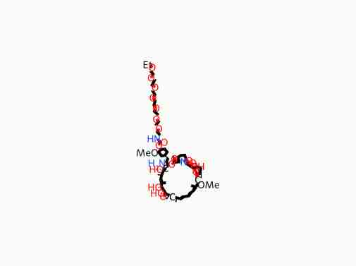 CCOCCOCCOCCOCCOCCOCCOCCNC(=O)OC1CC[C@@H](C[C@@H](N)[C@@H]2C[C@@H](O)[C@H](C)/C=C(\C)[C@@H](O)[C@@H](O)C(=O)[C@H](C)C[C@H](C)/C=C/C=C/C=C(\C)C(OC)C[C@@H]3CC[C@@H](C)[C@@](O)(O3)C(=O)C(=O)N3CCCC[C@H]3C(=O)O2)C[C@H]1OC